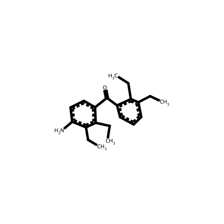 CCc1cccc(C(=O)c2ccc(N)c(CC)c2CC)c1CC